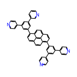 c1cncc(-c2cc(-c3ccncc3)cc(-c3ccc4ccc5c(-c6cc(-c7ccncc7)cc(-c7ccncc7)c6)ccc6ccc3c4c65)c2)c1